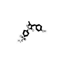 CC1=NN(c2ccc(S(N)(=O)=O)cc2)C(=O)C1=Cc1ccc(O)cc1